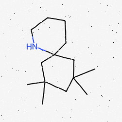 CC1(C)CC(C)(C)CC2(CCCCN2)C1